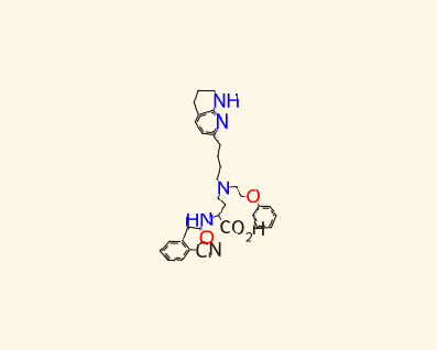 N#Cc1ccccc1CC(=O)NC(CCN(CCCCc1ccc2c(n1)NCCC2)CCOc1ccccc1)C(=O)O